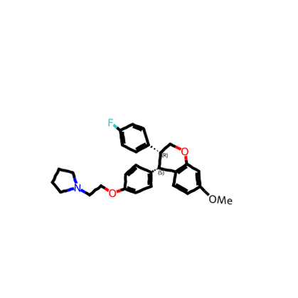 COc1ccc2c(c1)OC[C@@H](c1ccc(F)cc1)[C@H]2c1ccc(OCCN2CCCC2)cc1